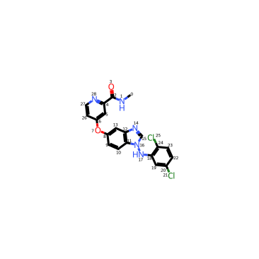 CNC(=O)c1cc(Oc2ccc3c(c2)ncn3Nc2cc(Cl)ccc2Cl)ccn1